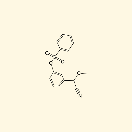 COC(C#N)c1cccc(OS(=O)(=O)c2ccccc2)c1